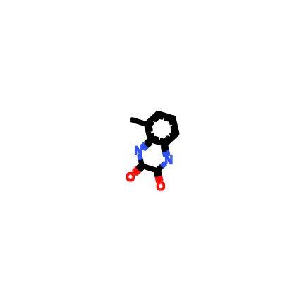 Cc1cccc2c1=NC(=O)C(=O)N=2